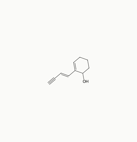 C#CC=CC1=CCCCC1O